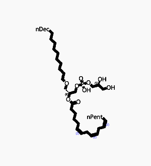 CCCCC/C=C\C/C=C\C/C=C\CCCCC(=O)O[C@H](COCCCCCCCCCCCCCCCCCCCC)COP(=O)(O)OC[C@@H](O)CO